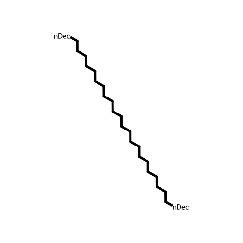 [CH2]CCCCCCCCCCCCCCCCCCCCCCCCCCCCCCCCCCCCCCCC[CH2]